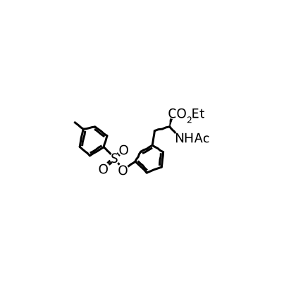 CCOC(=O)[C@H](Cc1cccc(OS(=O)(=O)c2ccc(C)cc2)c1)NC(C)=O